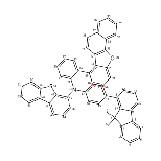 CC1(C)c2ccccc2-c2cccc(-c3ccc(N(c4ccccc4-c4cccc5oc6c7ccccc7ccc6c45)c4cccc5c4sc4ccccc45)cc3)c21